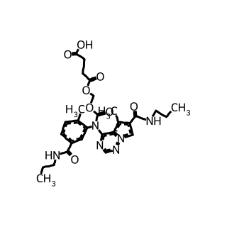 CCCNC(=O)c1ccc(C)c(N(C(=O)OCOC(=O)CCC(=O)O)c2ncnn3cc(C(=O)NCCC)c(C)c23)c1